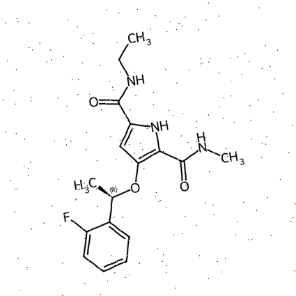 CCNC(=O)c1cc(O[C@H](C)c2ccccc2F)c(C(=O)NC)[nH]1